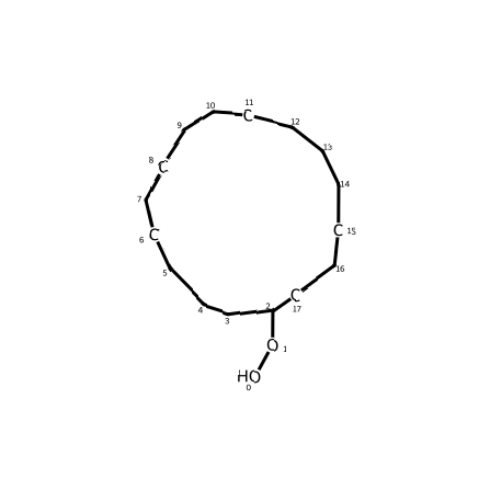 OOC1CCCCCCCCCCCCCCC1